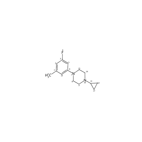 Cc1cc(F)cc(N2CCN(C3CC3)CC2)c1